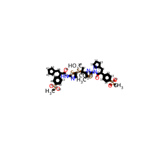 Cc1sc(NC(=O)C(CC2CCCC2)c2ccc(S(C)(=O)=O)cc2)nc1C(CC(=O)O)(Sc1cnc(NC(=O)C(CC2CCCC2)c2ccc(S(C)(=O)=O)cc2)s1)C(=O)O